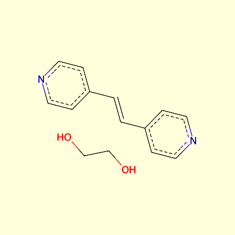 C(=C\c1ccncc1)/c1ccncc1.OCCO